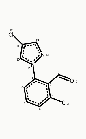 O=Cc1c(Cl)cccc1-n1cc(Cl)cn1